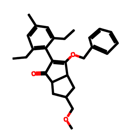 CCc1cc(C)cc(CC)c1C1=C(OCc2ccccc2)C2CC(COC)CC2C1=O